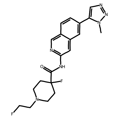 Cn1nncc1-c1ccc2cnc(NC(=O)C3(F)CCN(CCF)CC3)cc2c1